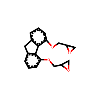 c1cc2c(c(OCC3CO3)c1)-c1c(cccc1OCC1CO1)C2